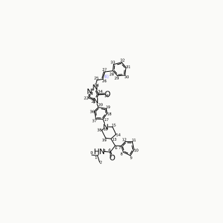 CC(C)NC(=O)C(c1ccccc1)C1CCN(c2ccc(-n3cnn(C/C=C/c4ccccc4)c3=O)cc2)CC1